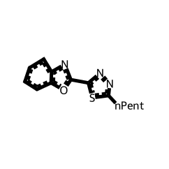 CCCCCc1nnc(-c2nc3ccccc3o2)s1